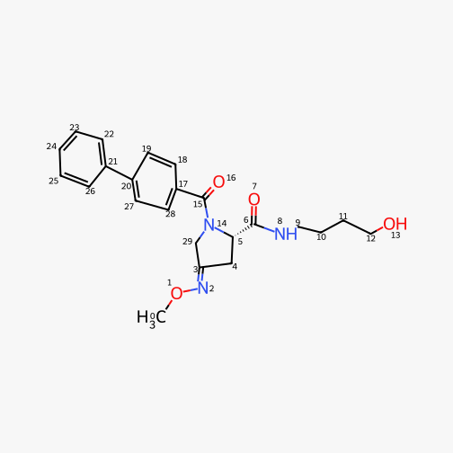 CON=C1C[C@@H](C(=O)NCCCCO)N(C(=O)c2ccc(-c3ccccc3)cc2)C1